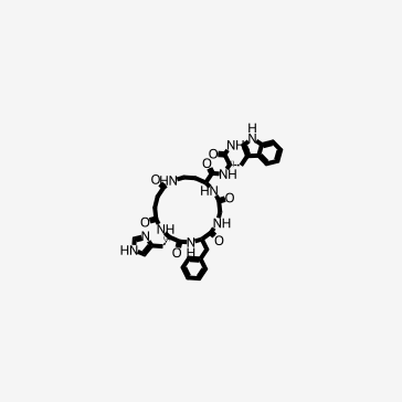 NC(=O)[C@H](Cc1c[nH]c2ccccc12)NC(=O)C1CCNC(=O)CCC(=O)N[C@@H](Cc2c[nH]cn2)C(=O)NC(Cc2ccccc2)C(=O)NCC(=O)N1